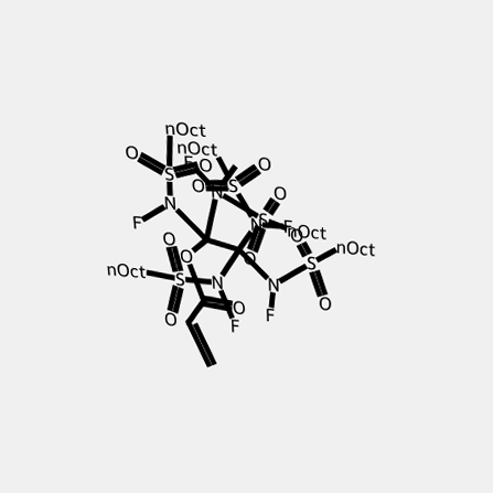 C=CC(=O)OC(N(F)S(=O)(=O)CCCCCCCC)(C(N(F)S(=O)(=O)CCCCCCCC)(N(F)S(=O)(=O)CCCCCCCC)N(F)S(=O)(=O)CCCCCCCC)[N+](C)(F)S(=O)(=O)CCCCCCCC